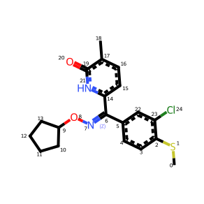 CSc1ccc(/C(=N/OC2CCCC2)c2ccc(C)c(=O)[nH]2)cc1Cl